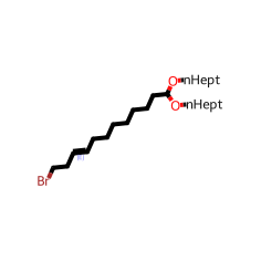 CCCCCCCOC(CCCCCCC/C=C/CCBr)OCCCCCCC